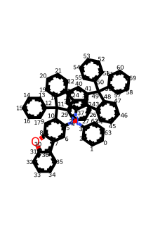 c1ccc(N(c2cc3c(cc2C2(c4ccccc4)c4ccccc4-c4ccccc42)oc2ccccc23)c2cccc3c2-c2ccccc2C3(c2ccccc2)c2ccccc2)cc1